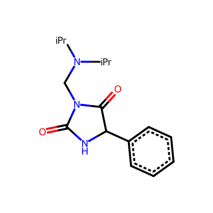 CC(C)N(CN1C(=O)NC(c2ccccc2)C1=O)C(C)C